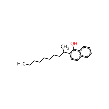 CCCCCCCCC(C)c1ccc2ccccc2c1O